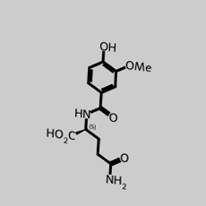 COc1cc(C(=O)N[C@@H](CCC(N)=O)C(=O)O)ccc1O